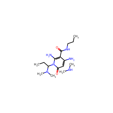 CCCNC(=O)c1c(N)cc(=O)n(C(CC)N(C)C)c1N.CNC